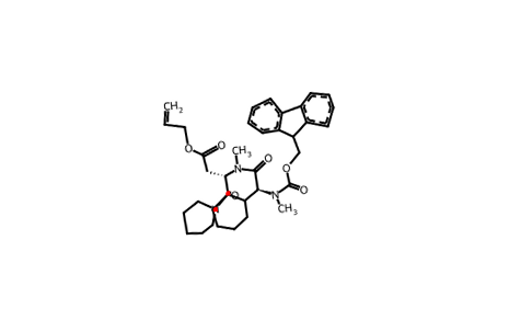 C=CCOC(=O)C[C@@H](C(=O)N1CCCCC1)N(C)C(=O)[C@H](C1CCCCC1)N(C)C(=O)OCC1c2ccccc2-c2ccccc21